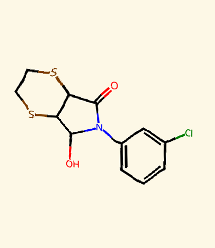 O=C1C2SCCSC2C(O)N1c1cccc(Cl)c1